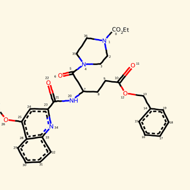 CCOC(=O)N1CCN(C(=O)C(CCC(=O)OCc2ccccc2)NC(=O)c2cc(OCC)c3ccccc3n2)CC1